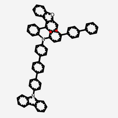 c1ccc(-c2ccc(-c3ccc(N(c4ccc(-c5ccc(-c6ccc(-n7c8ccccc8c8ccccc87)cc6)cc5)cc4)c4ccccc4-c4cccc5oc6ccccc6c45)cc3)cc2)cc1